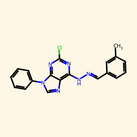 Cc1cccc(C=NNc2nc(Cl)nc3c2ncn3-c2ccccc2)c1